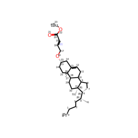 CC(C)CCC[C@@H](C)[C@H]1CCC2C3CC=C4C[C@@H](OC/C=C/C(=O)OC(C)(C)C)CC[C@]4(C)C3CC[C@@]21C